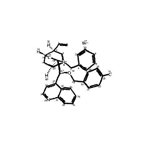 C=C[C@H]1C[N+]2(Cc3ccccc3)CC[C@H]1C[C@@H]2[C@@H](OCc1ccc(Cl)cc1)c1ccnc2ccccc12.[Br-]